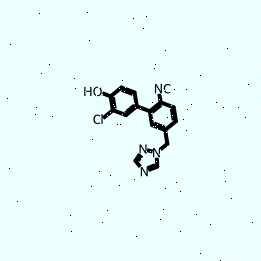 [C-]#[N+]c1ccc(Cn2cncn2)cc1-c1ccc(O)c(Cl)c1